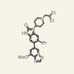 CCC(CC)CN1CCC(n2c(=O)[nH]c3cc(-c4cc(OC)c5ncnn5c4)c(C(C)C)cc32)CC1